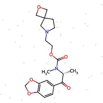 C[C@H](C(=O)c1ccc2c(c1)OCO2)N(C)C(=O)OCCN1CCC2(COC2)C1